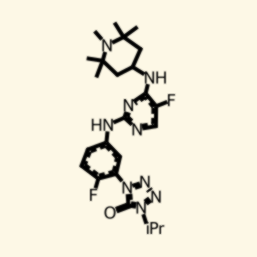 CC(C)n1nnn(-c2cc(Nc3ncc(F)c(NC4CC(C)(C)N(C)C(C)(C)C4)n3)ccc2F)c1=O